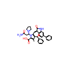 Cc1c(C(=O)c2ccccc2)c(C=C2C(=O)Nc3cc(-c4ccccc4)ccc32)n(C(CC(N)=O)N2CCCC2)c1C(=O)O